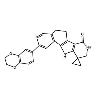 O=C1NCC2(CC2)c2[nH]c3c(c21)CCc1cnc(-c2ccc4c(c2)OCCO4)cc1-3